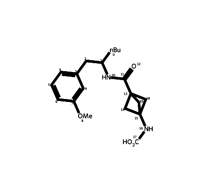 CCCCC(Cc1cccc(OC)c1)NC(=O)C12CC(NC(=O)O)(C1)C2